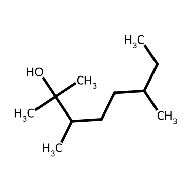 CCC(C)CCC(C)C(C)(C)O